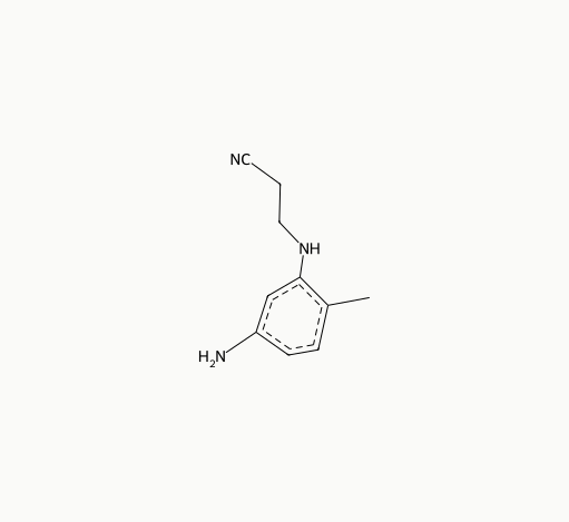 Cc1ccc(N)cc1NCCC#N